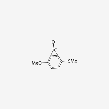 COc1ccc(SC)c2c1[S+]2[O-]